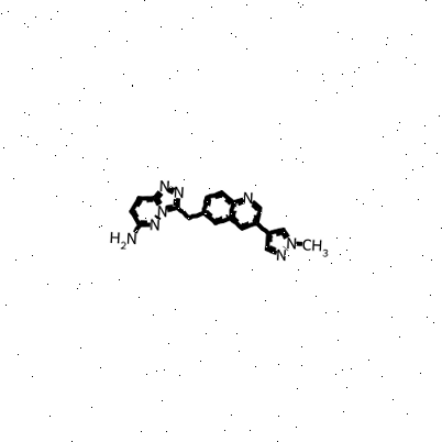 Cn1cc(-c2cnc3ccc(Cc4nnc5ccc(N)nn45)cc3c2)cn1